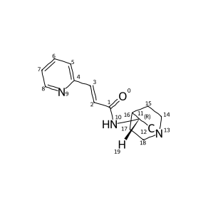 O=C(C=Cc1ccccn1)N[C@H]1CN2CCC1CC2